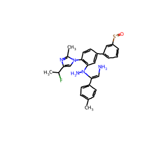 Cc1ccc(/C(=C/N)N(N)c2cc(-c3cccc([S+]=O)c3)ccc2-n2cc(C(C)F)nc2C)cc1